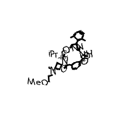 COCCCN(C)[C@H]1C[C@@H](N2C(=O)c3cccc(c3)S(=O)(=O)Nc3nc(cc(-c4c(C)cccc4C)n3)OC[C@H]2CC(C)C)C1